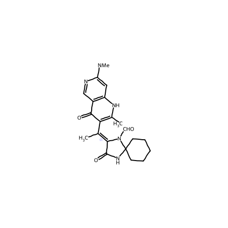 CNc1cc2[nH]c(C)c(/C(C)=C3/C(=O)NC4(CCCCC4)N3C=O)c(=O)c2cn1